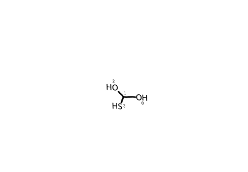 OC(O)S